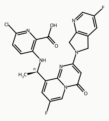 C[C@@H](Nc1ccc(Cl)nc1C(=O)O)c1cc(F)cn2c(=O)cc(N3Cc4cc(F)cnc4C3)nc12